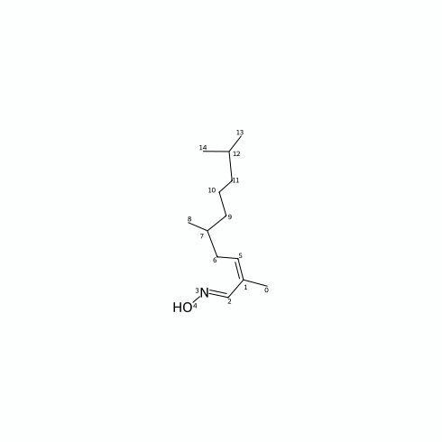 CC(C=NO)=CCC(C)CCCC(C)C